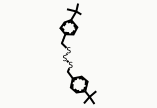 CC(C)(C)c1ccc(CSSSCc2ccc(C(C)(C)C)cc2)cc1